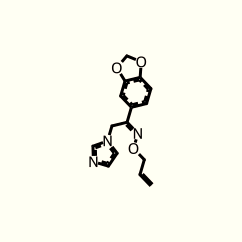 C=CCO/N=C(\Cn1ccnc1)c1ccc2c(c1)OCO2